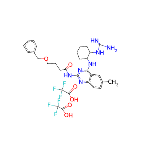 Cc1ccc2nc(NC(=O)CCCOCc3ccccc3)nc(NC3CCCCC3NC(=N)N)c2c1.O=C(O)C(F)(F)F.O=C(O)C(F)(F)F